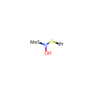 CSN(O)SC(C)C